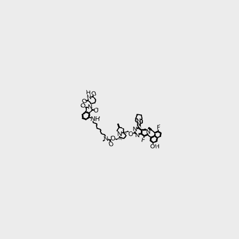 C#Cc1c(F)ccc2cc(O)cc(-c3ncc4c(N5CC6CCC(C5)N6)nc(OC[C@@]56CC[C@@H](COC(=O)N(C)CCCCCCNc7cccc8c7C(=O)N(C7CCC(=O)NC7=O)C8=O)N5CC(=C)C6)nc4c3F)c12